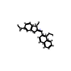 CC[n+]1c(/C=C2\Sc3cc(OC)ccc3N2C)ccc2ccccc21